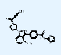 CC#CC(=O)N1CC[C@@H](N2NC(c3ccc(C(=O)Nc4nccs4)cc3)=C3C2=CN=CN3N)C1